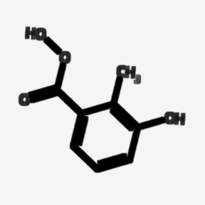 Cc1c(O)cccc1C(=O)OO